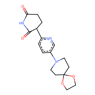 O=C1CCC(c2ccc(N3CCC4(CC3)OCCO4)cn2)C(=O)N1